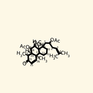 CC(=O)OC(CC=C(C)C)C[C@@]1(C)CCCC2[C@]1(C)C(=O)[C@@H](OC(C)=O)[C@H]1[C@H](C)C(=O)C=C[C@]21C